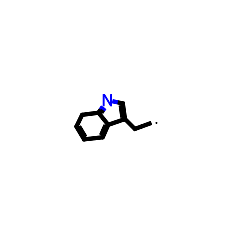 [CH2]CC1=CN=C2CC=CC=C12